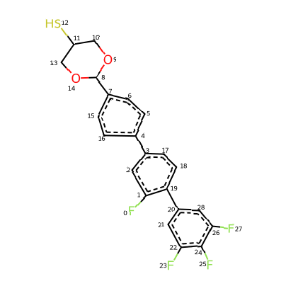 Fc1cc(-c2ccc(C3OCC(S)CO3)cc2)ccc1-c1cc(F)c(F)c(F)c1